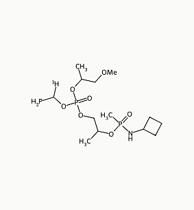 [3H]C(P)OP(=O)(OCC(C)OP(C)(=O)NC1CCC1)OC(C)COC